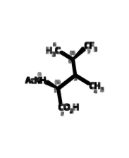 CC(=O)N[C@H](C(=O)O)C(C)[C@@H](C)C(F)(F)F